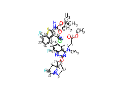 COC(=O)CCN(C)c1nc(OC[C@@]23CCCN2C[C@H](F)C3)nc2c(F)c(-c3ccc(F)c4sc(NC(=O)OC(C)(C)C)c(C#N)c34)c(Cl)cc12